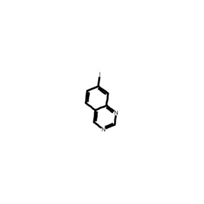 Ic1ccc2cncnc2c1